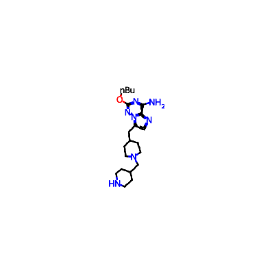 CCCCOc1nc(N)c2ncc(CC3CCN(CC4CCNCC4)CC3)n2n1